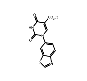 CCOC(=O)c1cn(-c2ccc3ncsc3c2)c(=O)[nH]c1=O